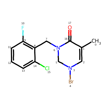 CC1=CN(Br)CN(Cc2c(F)cccc2Cl)C1=O